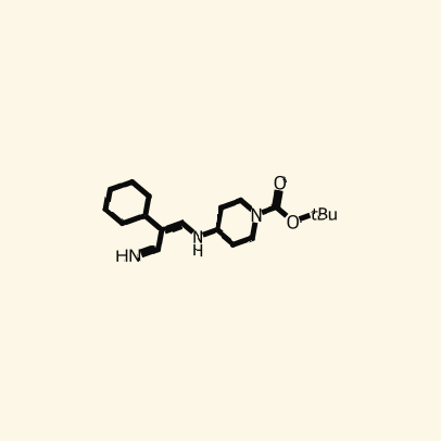 CC(C)(C)OC(=O)N1CCC(N/C=C(\C=N)C2CCCCC2)CC1